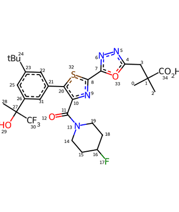 CC(C)(Cc1nnc(-c2nc(C(=O)N3CCC(F)CC3)c(-c3cc(C(C)(C)C)cc(C(C)(O)C(F)(F)F)c3)s2)o1)C(=O)O